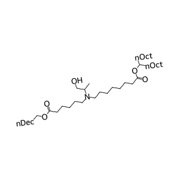 CCCCCCCCCCCOC(=O)CCCCCN(CCCCCCCC(=O)OC(CCCCCCCC)CCCCCCCC)C(C)CO